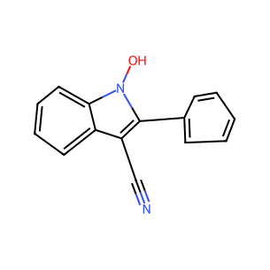 N#Cc1c(-c2ccccc2)n(O)c2ccccc12